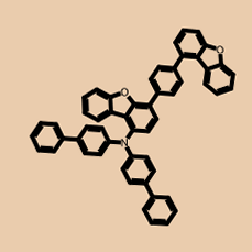 c1ccc(-c2ccc(N(c3ccc(-c4ccccc4)cc3)c3ccc(-c4ccc(-c5cccc6oc7ccccc7c56)cc4)c4oc5ccccc5c34)cc2)cc1